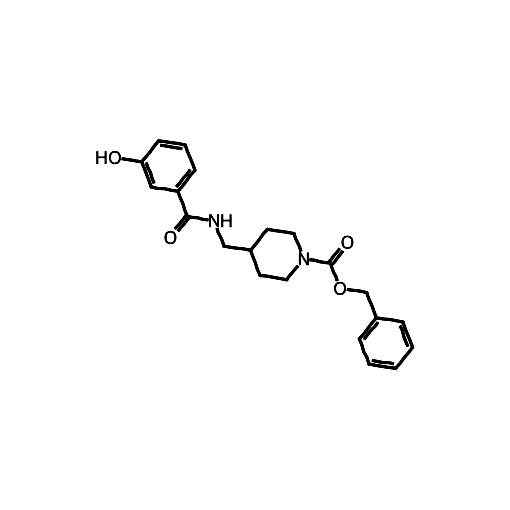 O=C(NCC1CCN(C(=O)OCc2ccccc2)CC1)c1cccc(O)c1